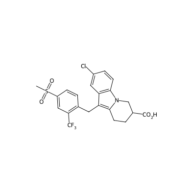 CS(=O)(=O)c1ccc(Cc2c3n(c4ccc(Cl)cc24)CC(C(=O)O)CC3)c(C(F)(F)F)c1